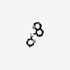 [c]1ccc(Oc2cccc3cccnc23)nc1